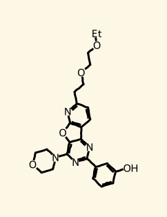 CCOCCOCCc1ccc2c(n1)oc1c(N3CCOCC3)nc(-c3cccc(O)c3)nc12